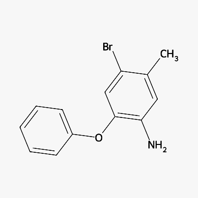 Cc1cc(N)c(Oc2ccccc2)cc1Br